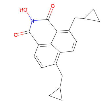 O=C1c2ccc(CC3CC3)c3ccc(CC4CC4)c(c23)C(=O)N1O